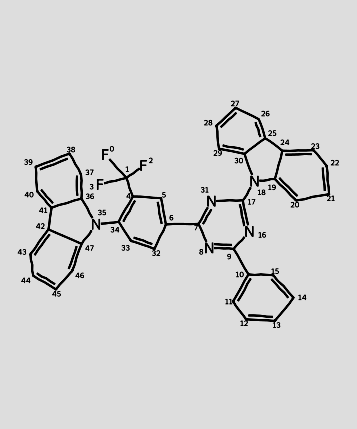 FC(F)(F)c1cc(-c2nc(-c3ccccc3)nc(-n3c4ccccc4c4ccccc43)n2)ccc1-n1c2ccccc2c2ccccc21